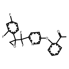 CC(=O)c1ccccc1Oc1ccc(C(F)(F)C2(c3ccc(F)cc3F)CO2)nc1